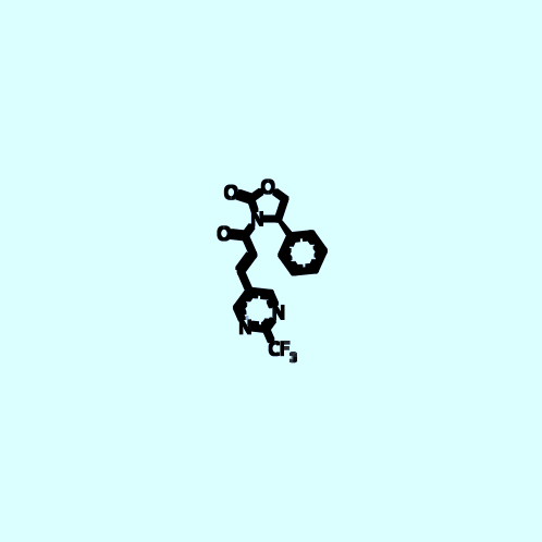 O=C(C=Cc1cnc(C(F)(F)F)nc1)N1C(=O)OC[C@H]1c1ccccc1